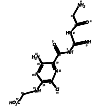 N=C(NC(=O)CN)NC(=O)c1nc(Cl)c(NCC(=O)O)nc1N